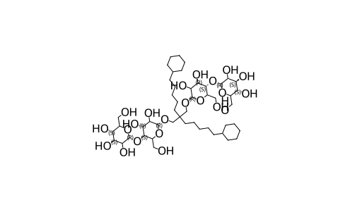 OCC1O[C@H](O[C@@H]2C(CO)O[C@@H](OCC(CCCCCC3CCCCC3)(CCCCCC3CCCCC3)CO[C@@H]3OC(CO)[C@@H](O[C@H]4OC(CO)[C@@H](O)[C@H](O)C4O)[C@H](O)C3O)C(O)[C@H]2O)C(O)[C@@H](O)[C@@H]1O